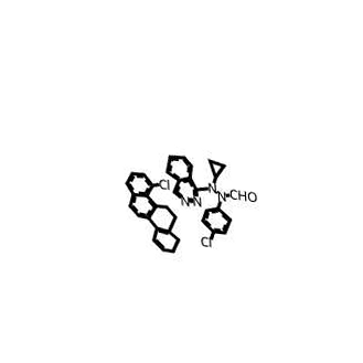 Clc1cccc2ccc3c(c12)CCC1=C3C=CCC1.O=CN(c1ccc(Cl)cc1)N(c1nncc2ccccc12)C1CC1